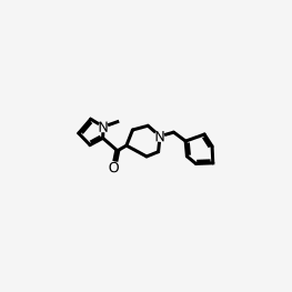 Cn1cccc1C(=O)C1CCN(Cc2ccccc2)CC1